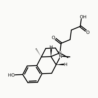 CN1CC[C@]2(C)c3cc(O)ccc3C[C@@H]1[C@H]2N(C)C(=O)CCC(=O)O